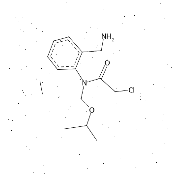 CC.CC(C)OCN(C(=O)CCl)c1ccccc1CN